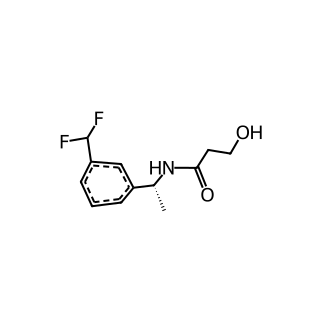 C[C@@H](NC(=O)CCO)c1cccc(C(F)F)c1